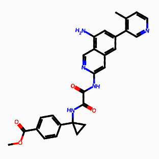 COC(=O)c1ccc(C2(NC(=O)C(=O)Nc3cc4cc(-c5cnccc5C)cc(N)c4cn3)CC2)cc1